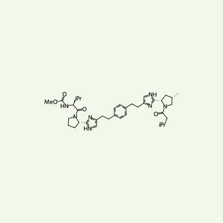 COC(=O)N[C@H](C(=O)N1CCC[C@H]1c1nc(CCc2ccc(CCc3c[nH]c([C@@H]4C[C@H](C)CN4C(=O)CC(C)C)n3)cc2)c[nH]1)C(C)C